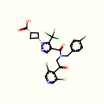 O=C(CN(Cc1ccc(F)cc1)C(=O)c1cnn([C@H]2C[C@@H](C(=O)O)C2)c1C(F)(F)F)c1c(Cl)cncc1Cl